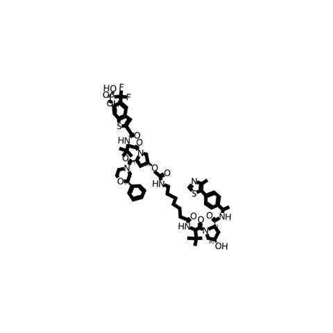 Cc1ncsc1-c1ccc(C(C)NC(=O)[C@@H]2C[C@@H](O)CN2C(=O)C(NC(=O)CCCCCCNC(=O)CO[C@H]2C[C@@H](C(=O)N3CCO[C@H](c4ccccc4)C3)N(C(=O)C(NC(=O)c3cc4cc(C(F)(F)P(=O)(O)O)ccc4s3)C(C)(C)C)C2)C(C)(C)C)cc1